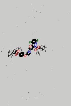 CC(C)(C)OC(=O)N[C@H]1C[C@@H](N2CC[C@H](Oc3ccc(B4OC(C)(C)C(C)(C)O4)cc3)C2)CO[C@@H]1c1cc(F)ccc1F